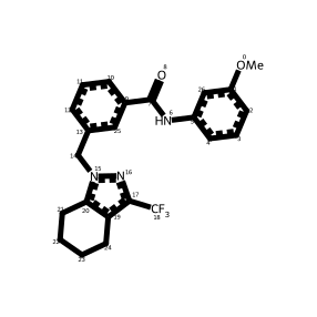 COc1cccc(NC(=O)c2cccc(Cn3nc(C(F)(F)F)c4c3CCCC4)c2)c1